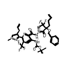 C=CCCC(OCc1ccccc1)(C(=O)NNC(=O)c1nc(-c2nn(C)cc2CC=C)c(C(F)(F)F)cc1NC(=O)OC(C)(C)C)C(F)(F)F